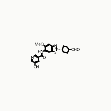 COc1cc2nc([C@H]3CC[C@H](C=O)CC3)sc2cc1NC(=O)c1cncc(C#N)c1